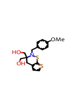 COc1ccc(CN2Sc3sccc3CC2(CO)CO)cc1